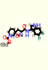 CC(C)(C)OC(=O)N1CCCC2(CC(C(=O)Nc3c[nH]c4cc(F)c(F)cc34)=NO2)C1